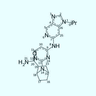 CC(C)n1cnc2cnc(Nc3ccnc(N4C5CCC4C(C(N)=O)C5)n3)cc21